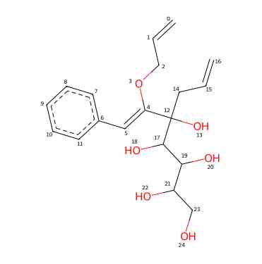 C=CCOC(=Cc1ccccc1)C(O)(CC=C)C(O)C(O)C(O)CO